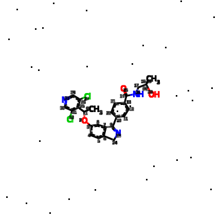 CC(Oc1ccc2c(c1)C(c1ccc(C(=O)NC[C@@H](C)O)cc1)=NC2)c1c(Cl)cncc1Cl